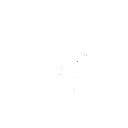 CC(C)(C)CC(=O)NN1C(=O)C(N(C(N)=O)c2cccc(Cl)c2)CC(c2ccccc2)CC1c1ccc(C(F)(F)F)cc1